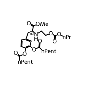 CCCCCC(=O)Oc1ccc(C[C@H](NCCOC(=O)OCCC)C(=O)OC)cc1OC(=O)CCCCC